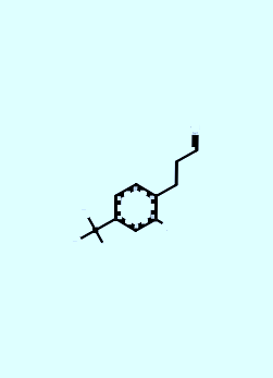 [2H]c1cc(C(F)(F)F)ccc1CCC=O